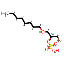 CCCCCCCCOCC(CBr)OS(=O)(=O)O